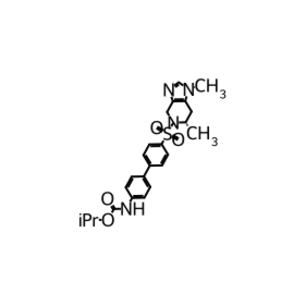 CC(C)OC(=O)Nc1ccc(-c2ccc(S(=O)(=O)N3Cc4ncn(C)c4C[C@@H]3C)cc2)cc1